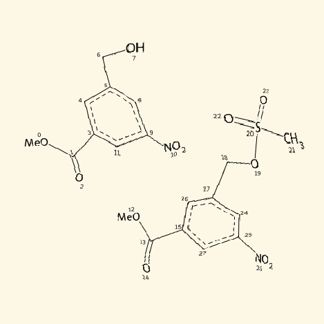 COC(=O)c1cc(CO)cc([N+](=O)[O-])c1.COC(=O)c1cc(COS(C)(=O)=O)cc([N+](=O)[O-])c1